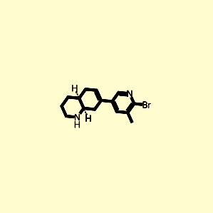 Cc1cc(C2=CC[C@@H]3CCCN[C@@H]3C2)cnc1Br